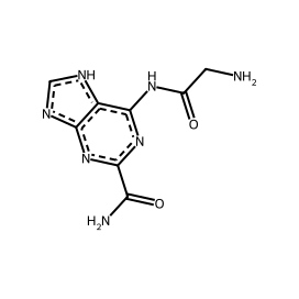 NCC(=O)Nc1nc(C(N)=O)nc2nc[nH]c12